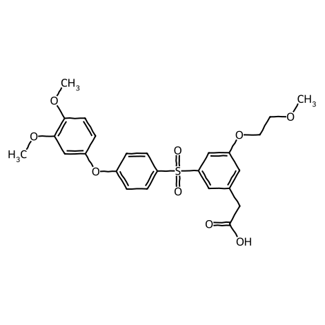 COCCOc1cc(CC(=O)O)cc(S(=O)(=O)c2ccc(Oc3ccc(OC)c(OC)c3)cc2)c1